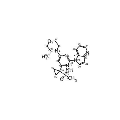 C[C@@H]1COCCN1c1cc(C2(S(C)(=N)=O)CC2)nc(-n2ccc3ncccc32)n1